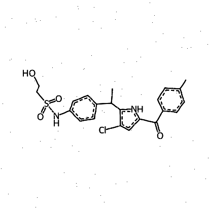 Cc1ccc(C(=O)c2cc(Cl)c(C(C)c3ccc(NS(=O)(=O)CCO)cc3)[nH]2)cc1